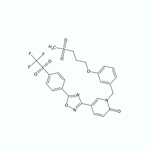 CS(=O)(=O)CCCOc1cccc(Cn2cc(-c3noc(-c4ccc(S(=O)(=O)C(F)(F)F)cc4)n3)ccc2=O)c1